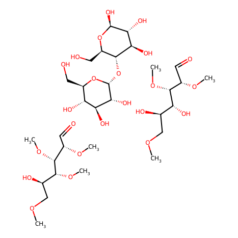 COC[C@@H](O)[C@@H](O)[C@H](OC)[C@H](C=O)OC.COC[C@@H](O)[C@@H](OC)[C@H](OC)[C@H](C=O)OC.OC[C@H]1O[C@H](O[C@H]2[C@H](O)[C@@H](O)[C@H](O)O[C@@H]2CO)[C@H](O)[C@@H](O)[C@@H]1O